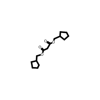 O=C(CC(=O)OCC1CCCC1)OCC1CCCC1